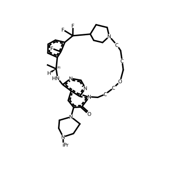 CC(C)N1CCN(c2cc3c4ncnc3n(c2=O)CCCOCCCCN2CCC(CC2)C(F)(F)c2cccc(c2F)[C@@H](C)N4)CC1